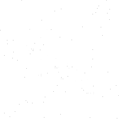 Cl.O=C(NO)c1cnc(N2CCC3(CCN(Cc4ccoc4)C3)CC2)nc1